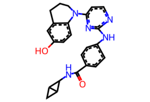 O=C(NC1C2CC21)c1ccc(Nc2nccc(N3CCCc4cc(O)ccc43)n2)cc1